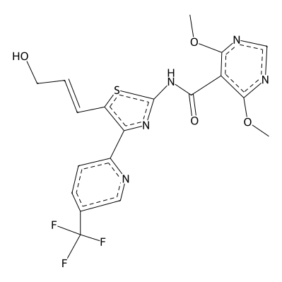 COc1ncnc(OC)c1C(=O)Nc1nc(-c2ccc(C(F)(F)F)cn2)c(C=CCO)s1